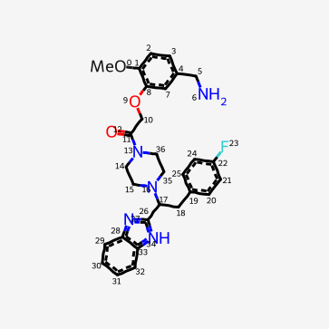 COc1ccc(CN)cc1OCC(=O)N1CCN(C(Cc2ccc(F)cc2)c2nc3ccccc3[nH]2)CC1